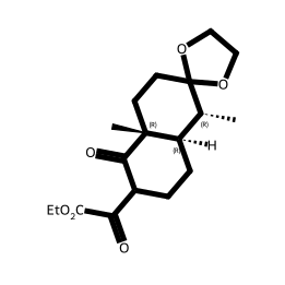 CCOC(=O)C(=O)C1CC[C@@H]2[C@@H](C)C3(CC[C@@]2(C)C1=O)OCCO3